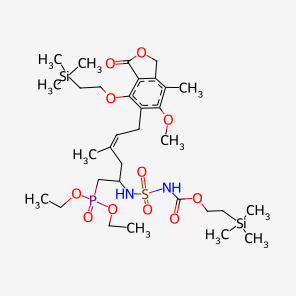 CCOP(=O)(CC(CC(C)=CCc1c(OC)c(C)c2c(c1OCC[Si](C)(C)C)C(=O)OC2)NS(=O)(=O)NC(=O)OCC[Si](C)(C)C)OCC